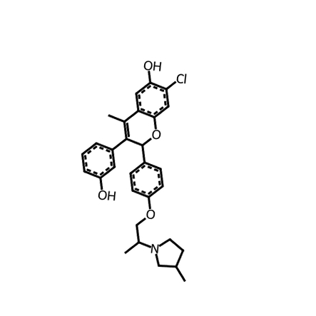 CC1=C(c2cccc(O)c2)C(c2ccc(OCC(C)N3CCC(C)C3)cc2)Oc2cc(Cl)c(O)cc21